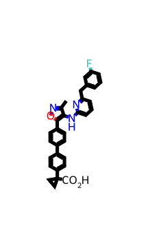 Cc1noc(-c2ccc(-c3ccc(C4(C(=O)O)CC4)cc3)cc2)c1Nc1cccc(Cc2cccc(F)c2)n1